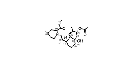 COC(=O)[C@@H]1C[C@H](C)CCN1C[C@@H](C)[C@@H]1CC[C@@H](C)[C@]2(O)[C][C@@H](OC(C)=O)C(C)=C[C@H]12